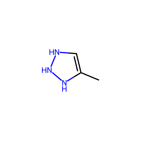 CC1=CNNN1